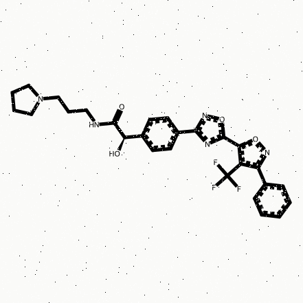 O=C(NCCCN1CCCC1)[C@H](O)c1ccc(-c2noc(-c3onc(-c4ccccc4)c3C(F)(F)F)n2)cc1